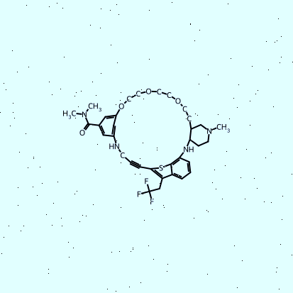 CN1CCC2Nc3cccc4c(CC(F)(F)F)c(sc34)C#CCNc3cc(cc(C(=O)N(C)C)c3)OCCOCCOCCC2C1